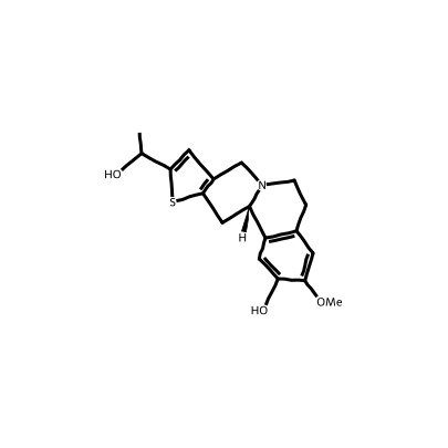 COc1cc2c(cc1O)[C@@H]1Cc3sc(C(C)O)cc3CN1CC2